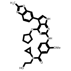 COc1cc(C(=O)N(CCO)C2CC2)ccc1Nc1nc(OC2CCCC2)c2c(-c3ccc4nc(C)oc4c3)c[nH]c2n1